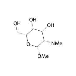 CN[C@@H]1[C@H](OC)O[C@H](CO)[C@H](O)[C@@H]1O